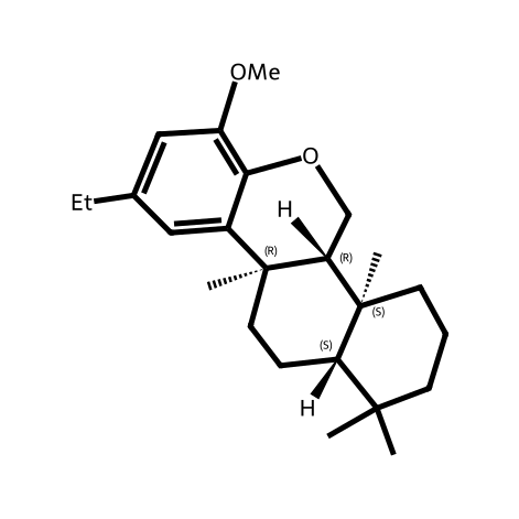 CCc1cc(OC)c2c(c1)[C@]1(C)CC[C@H]3C(C)(C)CCC[C@]3(C)[C@H]1CO2